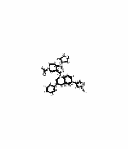 CC(=O)N1CCc2c(c(N3CC(c4ccccc4)Cc4cc(-c5cnn(C)c5)ccc43)nn2C2CCOC2)C1